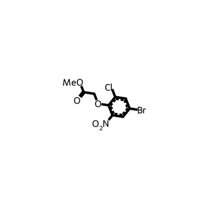 COC(=O)COc1c(Cl)cc(Br)cc1[N+](=O)[O-]